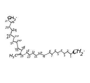 [CH2]CCCCCCCCCCCCCCCC(C)CCCCCCCCCC[CH2]